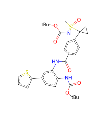 CC(C)(C)OC(=O)N=S(C)(=O)C1(c2ccc(C(=O)Nc3cc(-c4cccs4)ccc3NC(=O)OC(C)(C)C)cc2)CC1